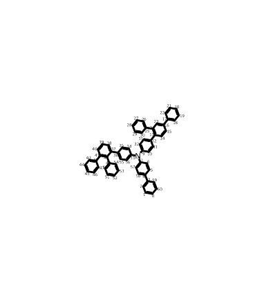 c1ccc(-c2ccc(N(c3ccc(-c4ccc(-c5ccccc5)cc4-c4ccccc4)cc3)c3ccc(-c4cccc(-c5ccccc5)c4-c4ccccc4)cc3)cc2)cc1